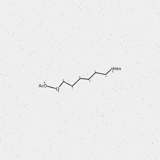 CCCCCCCCCCCCOOC(C)=O